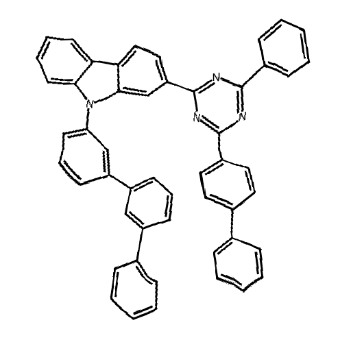 c1ccc(-c2ccc(-c3nc(-c4ccccc4)nc(-c4ccc5c6ccccc6n(-c6cccc(-c7cccc(-c8ccccc8)c7)c6)c5c4)n3)cc2)cc1